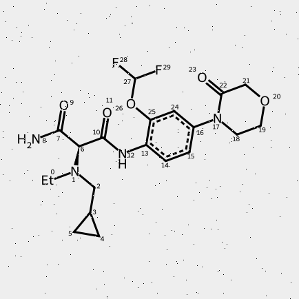 CCN(CC1CC1)[C@@H](C(N)=O)C(=O)Nc1ccc(N2CCOCC2=O)cc1OC(F)F